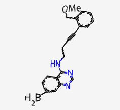 Bc1ccc2c(NCCC#Cc3ccccc3COC)ncnc2c1